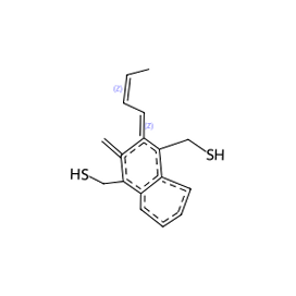 C=c1c(CS)c2ccccc2c(CS)/c1=C/C=C\C